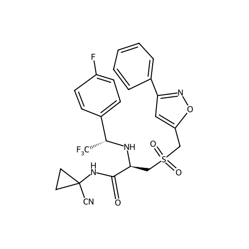 N#CC1(NC(=O)[C@H](CS(=O)(=O)Cc2cc(-c3ccccc3)no2)N[C@@H](c2ccc(F)cc2)C(F)(F)F)CC1